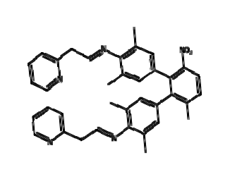 Cc1cc(-c2c(C)ccc([N+](=O)[O-])c2-c2cc(C)c(N=CCc3ccccn3)c(C)c2)cc(C)c1N=CCc1ccccn1